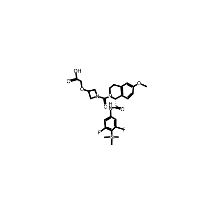 COc1ccc2c(c1)CCN(C(=O)N1CC(OCC(=O)O)C1)[C@H]2C(=O)Nc1cc(F)c([Si](C)(C)C)c(F)c1